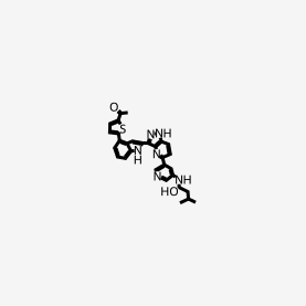 CC(=O)c1ccc(-c2cccc3[nH]c(-c4n[nH]c5ccc(-c6cncc(NC(O)CC(C)C)c6)nc45)cc23)s1